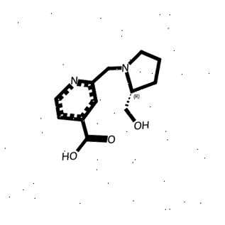 O=C(O)c1ccnc(CN2CCC[C@@H]2CO)c1